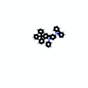 c1ccc(-n2c3ccc(-n4c5ccccc5c5ccccc54)cc3c3ccc(C(c4ccccc4)(c4ccccc4)c4ccccc4)cc32)cc1